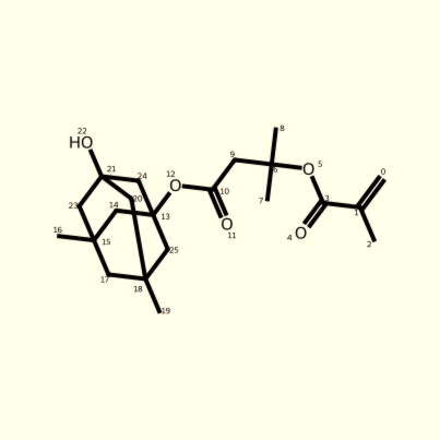 C=C(C)C(=O)OC(C)(C)CC(=O)OC12CC3(C)CC(C)(CC(O)(C3)C1)C2